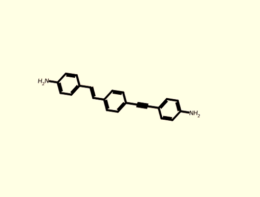 Nc1ccc(C#Cc2ccc(C=Cc3ccc(N)cc3)cc2)cc1